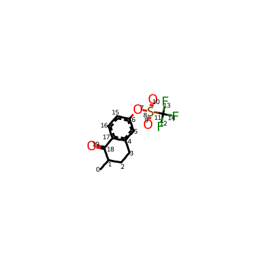 CC1CCc2cc(OS(=O)(=O)C(F)(F)F)ccc2C1=O